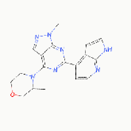 CC1COCCN1c1nc(-c2ccnc3[nH]ccc23)nc2c1cnn2C